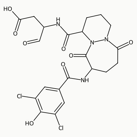 O=CC(CC(=O)O)NC(=O)C1CCCN2C(=O)CCC(NC(=O)c3cc(Cl)c(O)c(Cl)c3)C(=O)N12